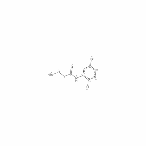 CCCCOCC(=O)Nc1cc(Br)cnc1Cl